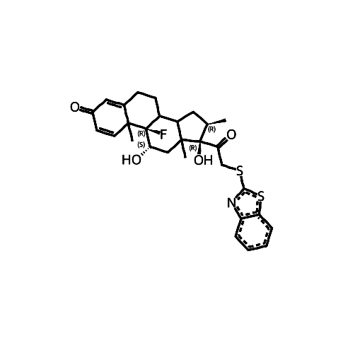 C[C@@H]1CC2C3CCC4=CC(=O)C=CC4(C)[C@@]3(F)[C@@H](O)CC2(C)[C@@]1(O)C(=O)CSc1nc2ccccc2s1